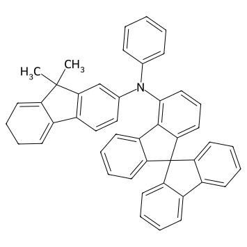 CC1(C)C2=CCCC=C2c2ccc(N(c3ccccc3)c3cccc4c3-c3ccccc3C43c4ccccc4-c4ccccc43)cc21